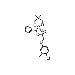 Cc1cc(OCC(=O)OC(c2ccco2)P2(=O)OCC(C)(C)CO2)ccc1Cl